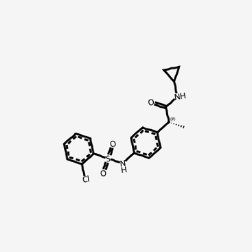 C[C@@H](C(=O)NC1CC1)c1ccc(NS(=O)(=O)c2ccccc2Cl)cc1